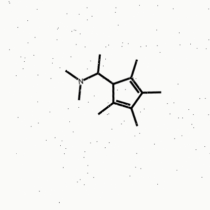 CC1=C(C)C(C(C)N(C)C)C(C)=C1C